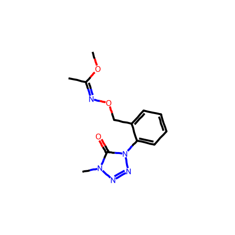 COC(C)=NOCc1ccccc1-n1nnn(C)c1=O